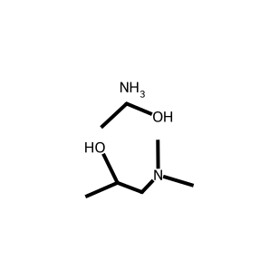 CC(O)CN(C)C.CCO.N